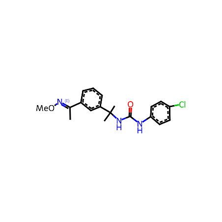 CO/N=C(\C)c1cccc(C(C)(C)NC(=O)Nc2ccc(Cl)cc2)c1